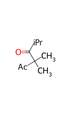 CC(=O)C(C)(C)C(=O)C(C)C